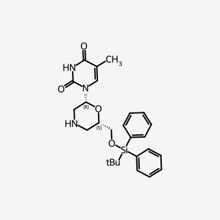 Cc1cn([C@H]2CNC[C@@H](CO[Si](c3ccccc3)(c3ccccc3)C(C)(C)C)O2)c(=O)[nH]c1=O